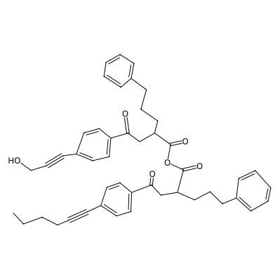 CCCCC#Cc1ccc(C(=O)CC(CCCc2ccccc2)C(=O)OC(=O)C(CCCc2ccccc2)CC(=O)c2ccc(C#CCO)cc2)cc1